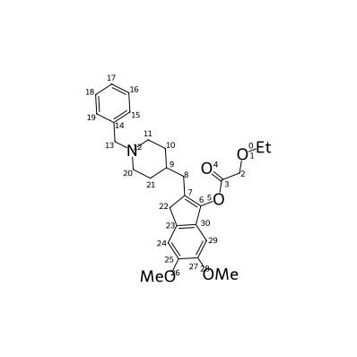 CCOCC(=O)OC1=C(CC2CCN(Cc3ccccc3)CC2)Cc2cc(OC)c(OC)cc21